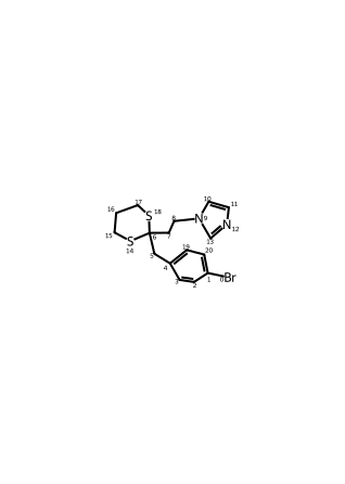 Brc1ccc(CC2(CCn3ccnc3)SCCCS2)cc1